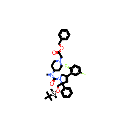 CN(C(=O)N1CC(c2cc(F)ccc2F)=CC1(CO[Si](C)(C)C(C)(C)C)c1ccccc1)C1CCN(CC(=O)OCc2ccccc2)CC1